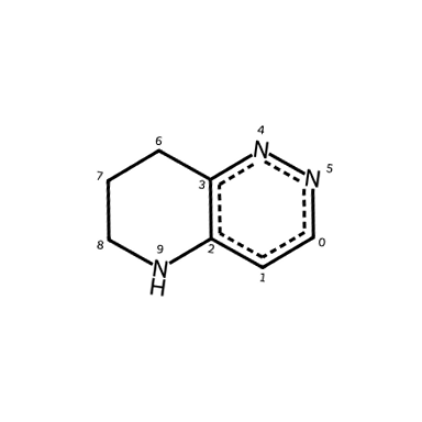 c1cc2c(nn1)CCCN2